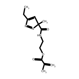 C=C(C)C(=O)OCCNC(=O)C1(C)C=C(CC)N=N1